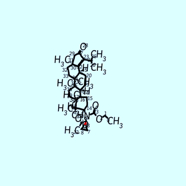 CCOC(=O)N(C1CC1)[C@]1(OC(C)=O)CC[C@]2(C)[C@H]3CC[C@@H]4C5=C(C(C)C)C(=O)C[C@]5(C)CC[C@@]4(C)[C@]3(C)CC[C@H]2C1(C)C